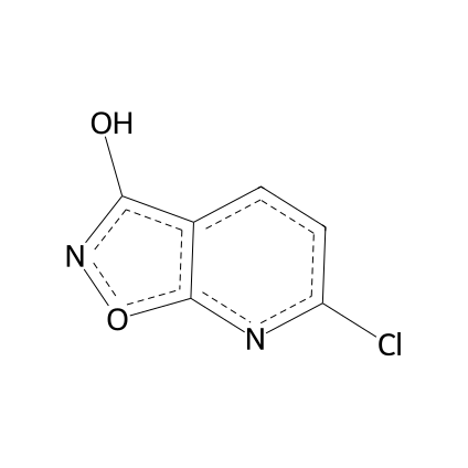 Oc1noc2nc(Cl)ccc12